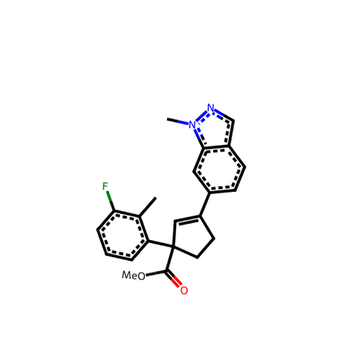 COC(=O)C1(c2cccc(F)c2C)C=C(c2ccc3cnn(C)c3c2)CC1